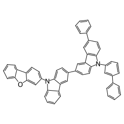 c1ccc(-c2cccc(-n3c4ccc(-c5ccccc5)cc4c4cc(-c5ccc6c(c5)c5ccccc5n6-c5ccc6c(c5)oc5ccccc56)ccc43)c2)cc1